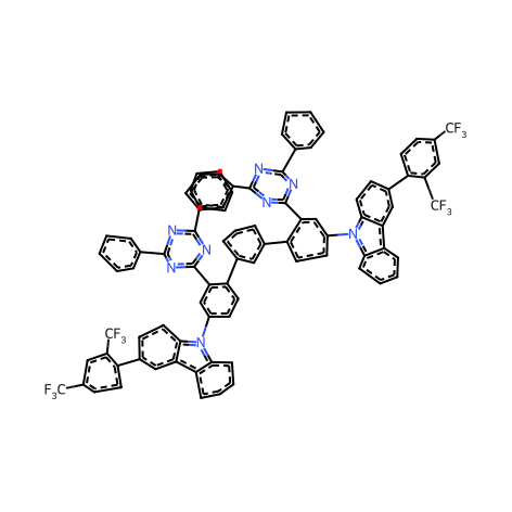 FC(F)(F)c1ccc(-c2ccc3c(c2)c2ccccc2n3-c2ccc(-c3cccc(-c4ccc(-n5c6ccccc6c6cc(-c7ccc(C(F)(F)F)cc7C(F)(F)F)ccc65)cc4-c4nc(-c5ccccc5)nc(-c5ccccc5)n4)c3)c(-c3nc(-c4ccccc4)nc(-c4ccccc4)n3)c2)c(C(F)(F)F)c1